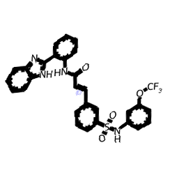 O=C(/C=C/c1cccc(S(=O)(=O)Nc2cccc(OC(F)(F)F)c2)c1)Nc1ccccc1-c1nc2ccccc2[nH]1